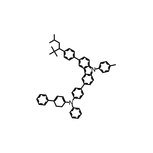 Cc1ccc(-n2c3ccc(-c4ccc(C(CC(C)C)C(C)(C)C)cc4)cc3c3cc(-c4ccc(N(C5=CC=C(c6ccccc6)CC5)c5ccccc5)cc4)ccc32)cc1